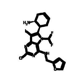 N[C@@H]1CC=CC[C@H]1c1c(I)c2nc(Cl)nc(NCc3ccco3)c2n1C(F)F